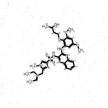 CCN(CC)Cc1nc(S(=O)(=O)Nc2nc3ccccc3nc2Nc2cc(OC)cc(OC)c2OCCC(C)O)cn1C